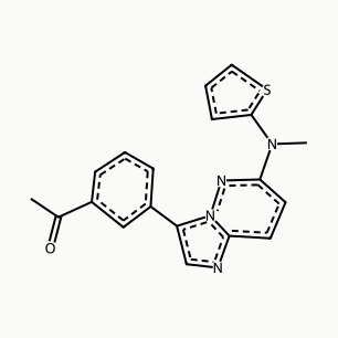 CC(=O)c1cccc(-c2cnc3ccc(N(C)c4cccs4)nn23)c1